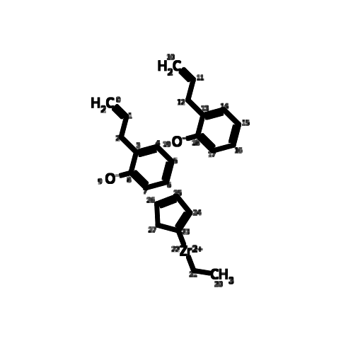 C=CCc1ccccc1[O-].C=CCc1ccccc1[O-].C[CH2][Zr+2][C]1=CC=CC1